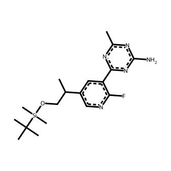 Cc1nc(N)nc(-c2cc(C(C)CO[Si](C)(C)C(C)(C)C)cnc2F)n1